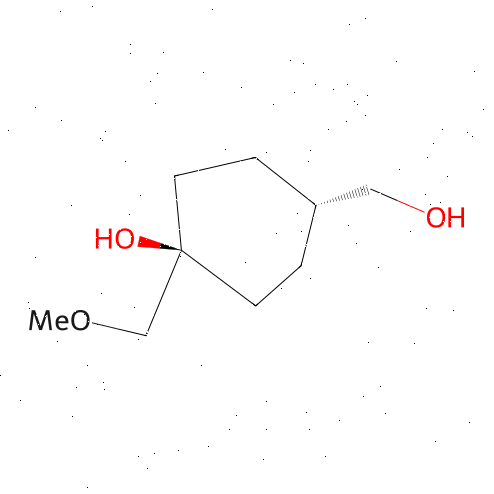 COC[C@]1(O)CC[C@H](CO)CC1